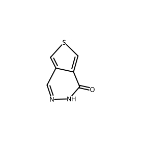 O=c1[nH]ncc2cscc12